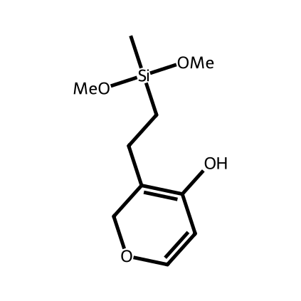 CO[Si](C)(CCC1=C(O)C=COC1)OC